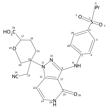 CC(C)S(=O)(=O)c1ccc(Nc2nn(C3(CC#N)CCC(C(=O)O)OC3)c3cc[nH]c(=O)c23)cc1